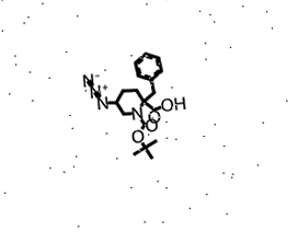 CC(C)(C)OC(=O)N1CC(N=[N+]=[N-])CCC1(Cc1ccccc1)C(=O)O